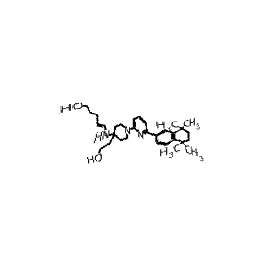 CC1(C)CCC(C)(C)c2cc(-c3cccc(N4CCC(CCO)(NCCCCCO)CC4)n3)ccc21